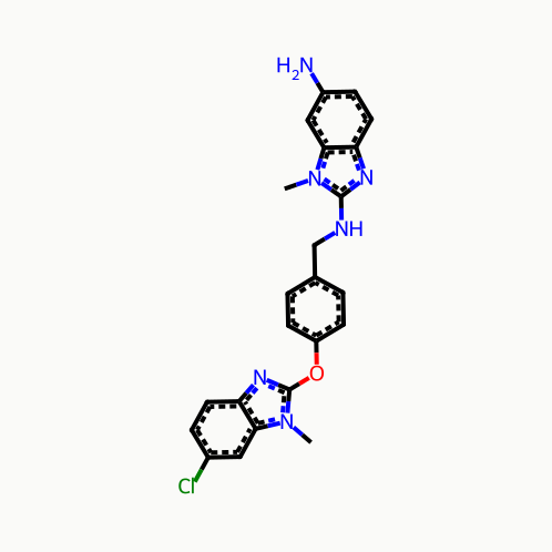 Cn1c(NCc2ccc(Oc3nc4ccc(Cl)cc4n3C)cc2)nc2ccc(N)cc21